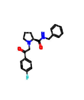 O=C(CN1CCC[C@H]1C(=O)NCc1ccccc1)c1ccc(F)cc1